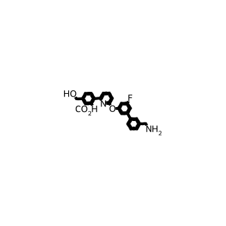 NCc1cccc(-c2cc(F)cc(Oc3cccc(-c4ccc(CO)cc4C(=O)O)n3)c2)c1